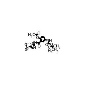 CC(=O)Oc1ccc(NC(=O)OC(C)(C)C)cc1C(=O)Nc1ncc([N+](=O)[O-])s1